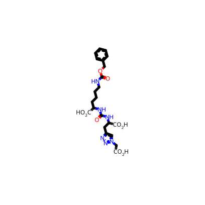 O=C(O)Cn1cc(CC(NC(=O)NC(CCCCNC(=O)OCc2ccccc2)C(=O)O)C(=O)O)nn1